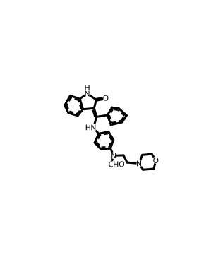 O=CN(CCN1CCOCC1)c1ccc(NC(=C2C(=O)Nc3ccccc32)c2ccccc2)cc1